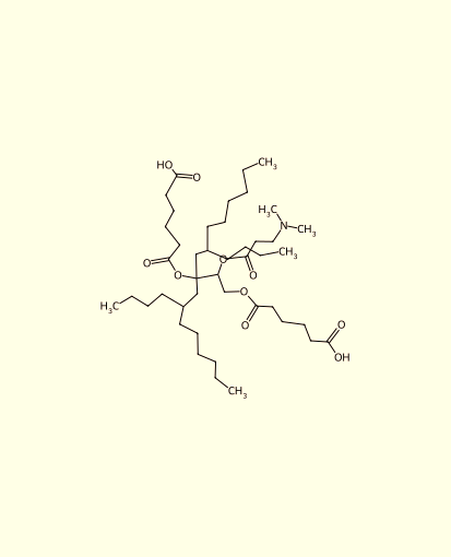 CCCCCCC(CCCC)CC(CC(CCCC)CCCCCC)(OC(=O)CCCCC(=O)O)C(COC(=O)CCCCC(=O)O)OC(=O)CCN(C)C